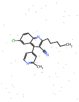 CCCCCc1nc2ccc(Cl)cc2c(-c2ccnc(C)c2)c1C#N